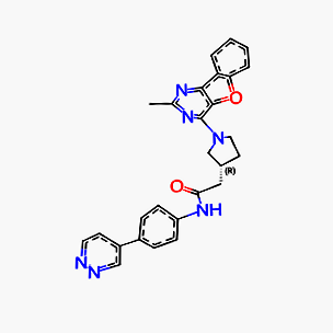 Cc1nc(N2CC[C@H](CC(=O)Nc3ccc(-c4ccnnc4)cc3)C2)c2oc3ccccc3c2n1